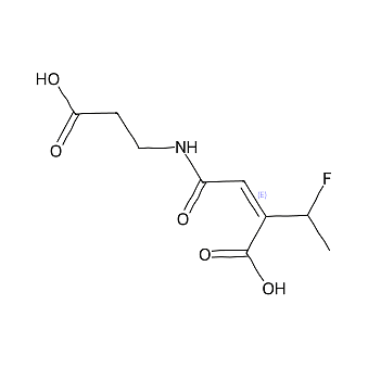 CC(F)/C(=C/C(=O)NCCC(=O)O)C(=O)O